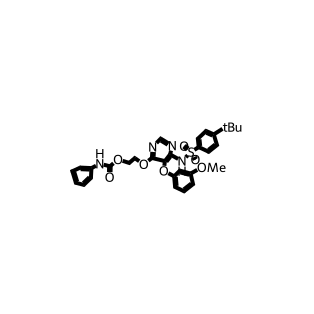 COc1cccc(Oc2c(NS(=O)(=O)c3ccc(C(C)(C)C)cc3)ncnc2OCCOC(=O)Nc2ccccc2)c1